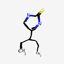 CCC(CC)C1=NC(=S)N=C1